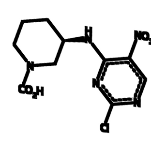 O=C(O)N1CCC[C@@H](Nc2nc(Cl)ncc2[N+](=O)[O-])C1